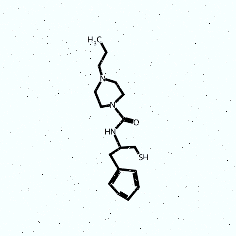 CCCN1CCN(C(=O)NC(CS)Cc2ccccc2)CC1